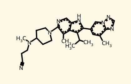 Cc1c(N2CCC(N(C)CCC#N)CC2)ncc2[nH]c(-c3cc(C)c4ncnn4c3)c(C(C)C)c12